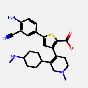 CNC1CCC(C2=C(c3cc(-c4ccc(N)c(C#N)c4)sc3C(=O)O)CCN(C)C2)CC1